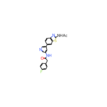 CC(=O)Nc1nc2ccc(-c3cncc(NC(=O)Cc4ccc(F)cc4)c3)cc2s1